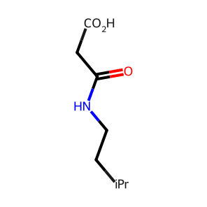 CC(C)CCNC(=O)CC(=O)O